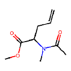 C=CCC(C(=O)OC)N(C)C(C)=O